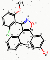 COc1cccc(Cl)c1-c1noc(-c2ccc(O)cc2)c1-c1ccccc1C